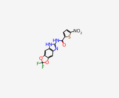 O=C(Nc1nc2cc3c(cc2[nH]1)OC(F)(F)O3)c1ccc([N+](=O)[O-])s1